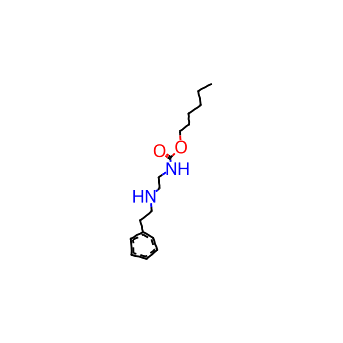 CCCCCCOC(=O)NCCNCCc1ccccc1